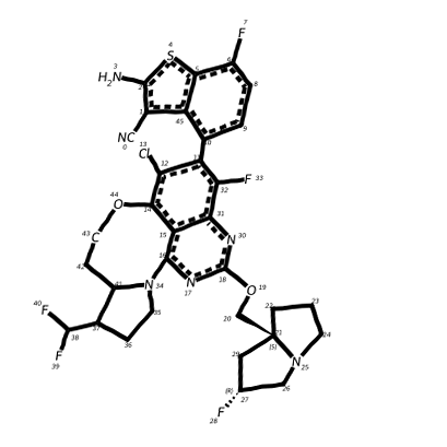 N#Cc1c(N)sc2c(F)ccc(-c3c(Cl)c4c5c(nc(OC[C@@]67CCCN6C[C@H](F)C7)nc5c3F)N3CCC(C(F)F)C3CCO4)c12